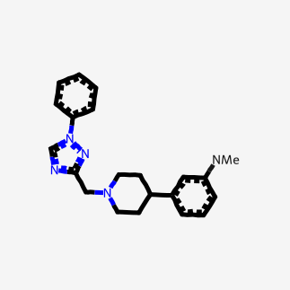 CNc1cccc(C2CCN(Cc3ncn(-c4ccccc4)n3)CC2)c1